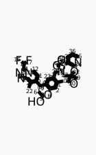 Cc1ccc([C@H](CC(=O)O)c2ccn3c(C(F)F)nnc3c2C)cc1CN1CC2(COC2)Oc2ncccc2S1(=O)=O